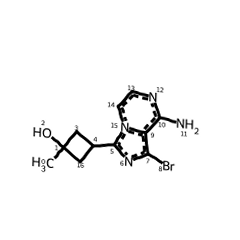 CC1(O)CC(c2nc(Br)c3c(N)nccn23)C1